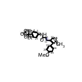 CCC(CC)(c1ccc(NC(=O)/C=C/c2cnn(C)c2-c2ccc(OC)cc2)cc1)P(=O)(O)O